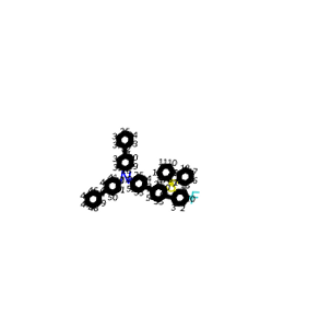 Fc1ccc2c(c1)S(c1ccccc1)(c1ccccc1)c1cc(-c3ccc(N(c4ccc(-c5ccccc5)cc4)c4ccc(-c5ccccc5)cc4)cc3)ccc1-2